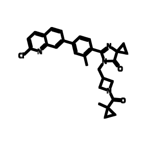 Cc1cc(-c2ccc3ccc(Cl)nc3c2)ccc1C1=NC2(CC2)C(=O)N1CC1CN(C(=O)C2(C)CC2)C1